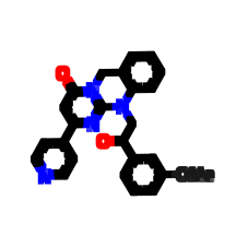 COc1cccc(C(=O)CN2c3ccccc3Cn3c2nc(-c2ccncc2)cc3=O)c1